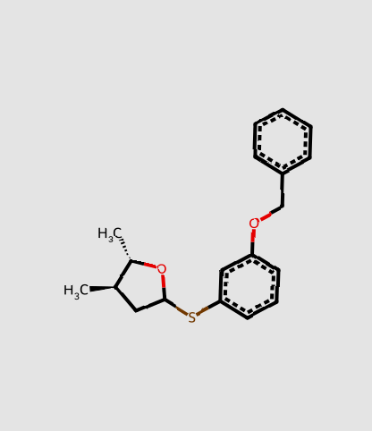 C[C@@H]1CC(Sc2cccc(OCc3ccccc3)c2)O[C@H]1C